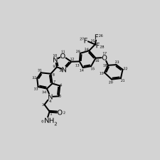 NC(=O)Cn1ccc2c(-c3noc(-c4ccc(Oc5ccccc5)c(C(F)(F)F)c4)n3)cccc21